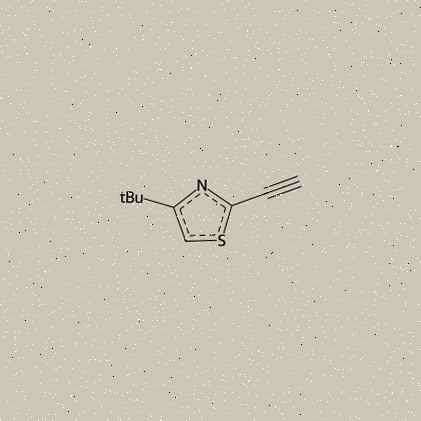 C#Cc1nc(C(C)(C)C)cs1